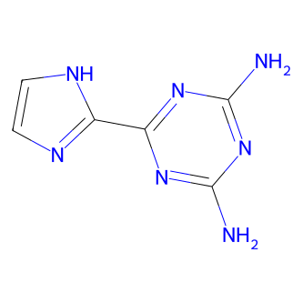 Nc1nc(N)nc(-c2ncc[nH]2)n1